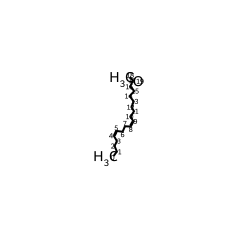 CCCC/C=C\CC/C=C\CCCCCCCC(C)=O